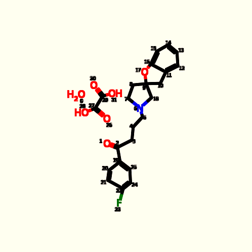 O.O=C(CCCN1CCC2(Cc3ccccc3O2)C1)c1ccc(F)cc1.O=C(O)C(=O)O